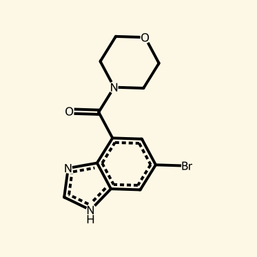 O=C(c1cc(Br)cc2[nH]cnc12)N1CCOCC1